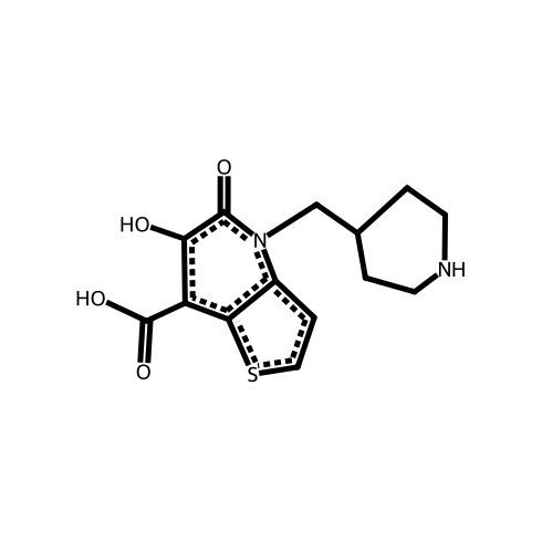 O=C(O)c1c(O)c(=O)n(CC2CCNCC2)c2ccsc12